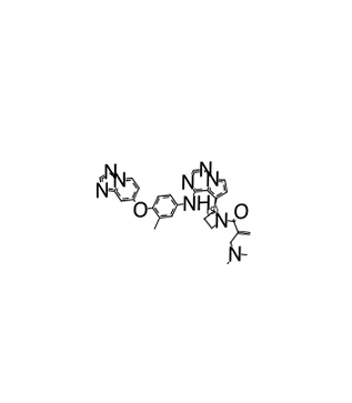 C=C(CN(C)C)C(=O)N1CC[C@H]1c1ccn2ncnc(Nc3ccc(Oc4ccn5ncnc5c4)c(C)c3)c12